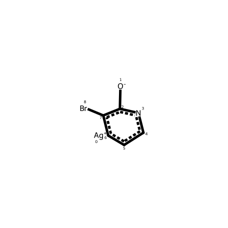 [Ag+].[O-]c1ncccc1Br